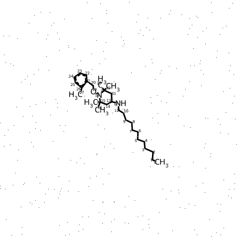 CCCCCCCCCCCCNC1CC(C)(C)N(OCc2ccccc2C)C(C)(C)C1